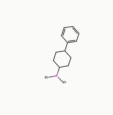 CC(C)P(C(C)C)C1CCC(c2ccccc2)CC1